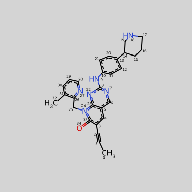 CC#Cc1cc2cnc(Nc3ccc(C4CCCNC4)cc3)nc2n(Cc2ncccc2C)c1=O